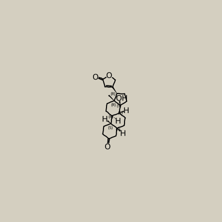 C[C@]12CC[C@@H]3[C@H]4CCC(=O)C[C@H]4CC[C@H]3[C@@]1(O)CC[C@@H]2C1=CC(=O)OC1